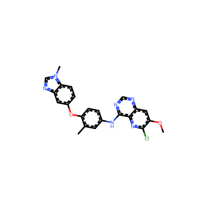 COc1cc2ncnc(Nc3ccc(Oc4ccc5c(c4)ncn5C)c(C)c3)c2nc1Cl